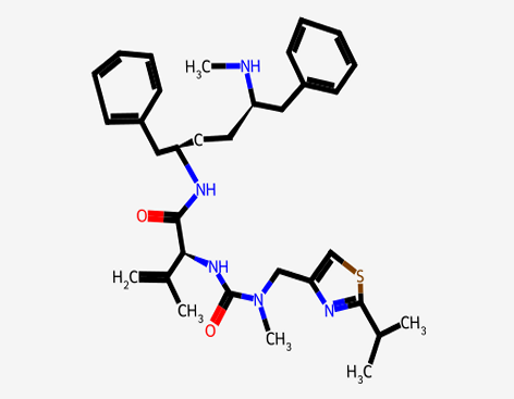 C=C(C)[C@H](NC(=O)N(C)Cc1csc(C(C)C)n1)C(=O)N[C@H](CC[C@H](Cc1ccccc1)NC)Cc1ccccc1